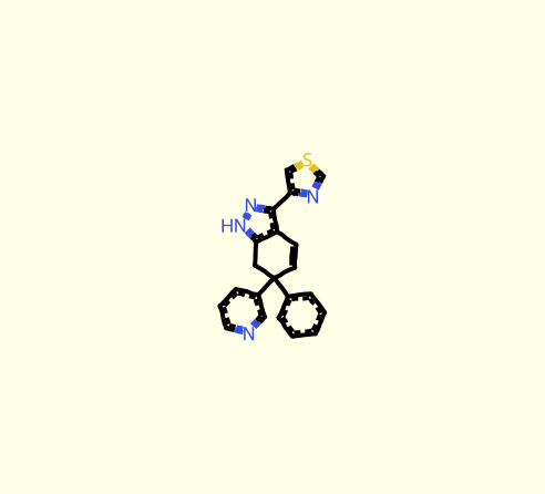 C1=CC(c2ccccc2)(c2cccnc2)Cc2[nH]nc(-c3cscn3)c21